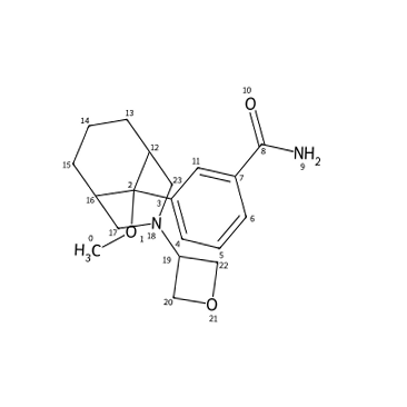 COC1(c2cccc(C(N)=O)c2)C2CCCC1CN(C1COC1)C2